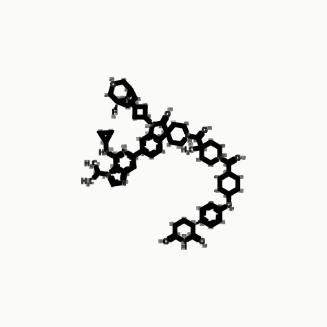 CC(C)n1cnc2cc(-c3ccc4c(c3)N(C3CC(N5C6CC[C@H]5COC6)C3)C(=O)C43CCN(C(=O)C4(C)CCN(C(=O)C5CCC(Oc6ccc([C@H]7CCC(=O)NC7=O)cc6)CC5)CC4)CC3)nc(NC3CC3)c21